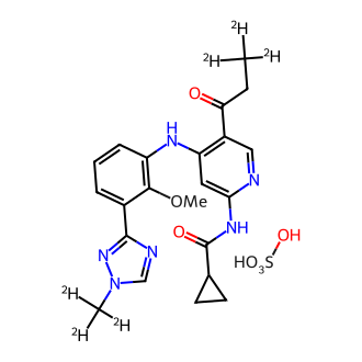 O=S(=O)(O)O.[2H]C([2H])([2H])CC(=O)c1cnc(NC(=O)C2CC2)cc1Nc1cccc(-c2ncn(C([2H])([2H])[2H])n2)c1OC